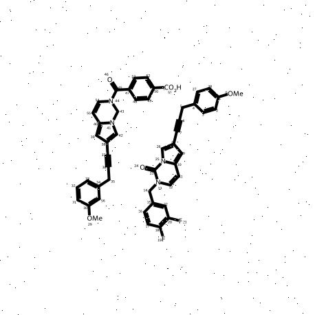 COc1ccc(CC#Cc2cc3ccn(Cc4ccc(F)c(F)c4)c(=O)n3c2)cc1.COc1cccc(CC#Cc2cc3n(c2)CN(C(=O)c2ccc(C(=O)O)cc2)C=C3)c1